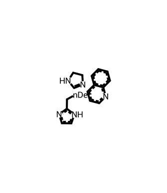 C1=NCCN1.CCCCCCCCCCCc1ncc[nH]1.c1ccc2ncccc2c1